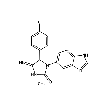 C.N=C1NC(=O)N(c2ccc3[nH]cnc3c2)C1c1ccc(Cl)cc1